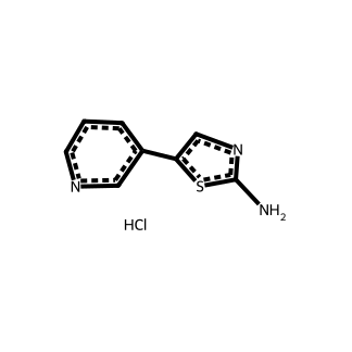 Cl.Nc1ncc(-c2cccnc2)s1